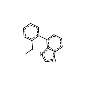 CCc1ccccc1-c1cccc2o[c]nc12